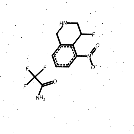 NC(=O)C(F)(F)F.O=[N+]([O-])c1cccc2c1C(F)CNC2